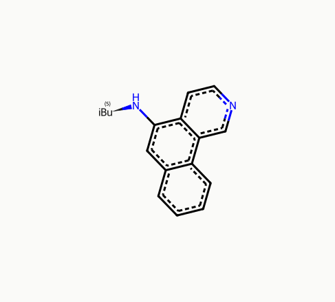 CC[C@H](C)Nc1cc2ccccc2c2cnccc12